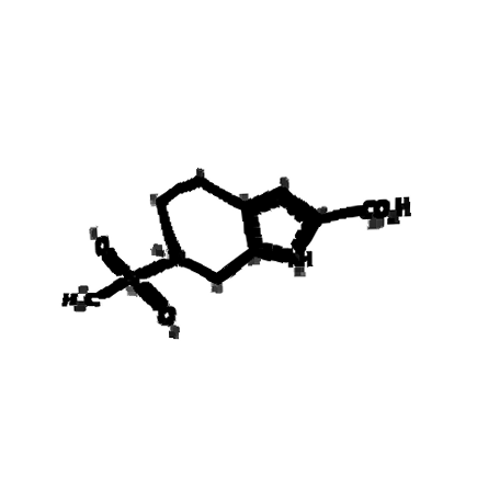 CS(=O)(=O)N1CCc2cc(C(=O)O)[nH]c2C1